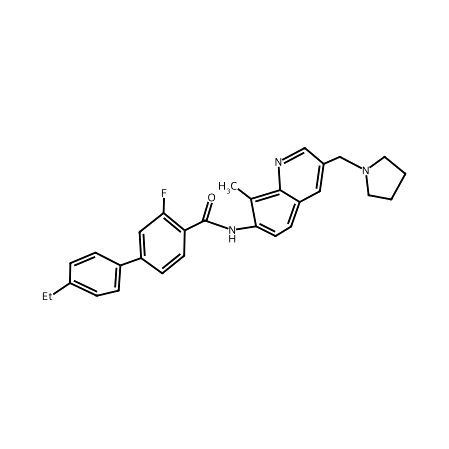 CCc1ccc(-c2ccc(C(=O)Nc3ccc4cc(CN5CCCC5)cnc4c3C)c(F)c2)cc1